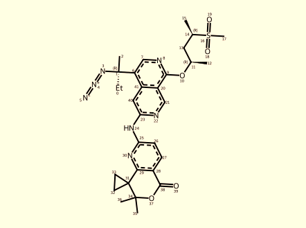 CC[C@@](C)(N=[N+]=[N-])c1cnc(O[C@H](C)C[C@@H](C)S(C)(=O)=O)c2cnc(Nc3ccc4c(n3)C3(CC3)C(C)(C)OC4=O)cc12